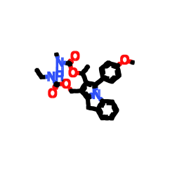 CCNC(=O)OCc1c(C(C)OC(=O)NC)c(-c2ccc(OC)cc2)n2c1Cc1ccccc1-2